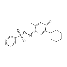 CC1=CC(=O)C(C2CCCCC2)=C/C1=N/OS(=O)(=O)c1ccccc1